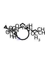 CC(C)(C)CC(=O)NC1CCCCC/C=C\[C@@H]2C[C@@]2(C(=O)NS(=O)(=O)C2CC2)NC(=O)C2CCCN2C1=O